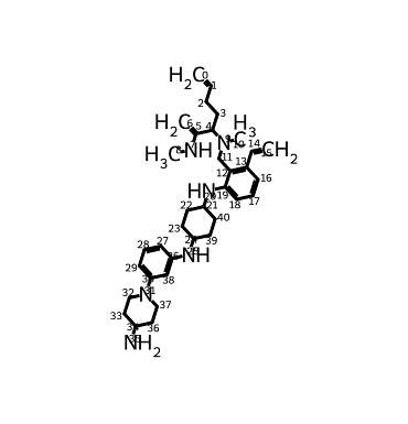 C=CCCC(C(=C)NC)N(C)Cc1c(C=C)cccc1NC1CCC(Nc2cccc(N3CCC(N)CC3)c2)CC1